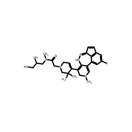 CN1C=C2C(=C(C3=CCN(CC(=O)N(C)CC(O)CO)CC3(C)C)C1)NN=C1C=Cc3cc(F)cc2c31